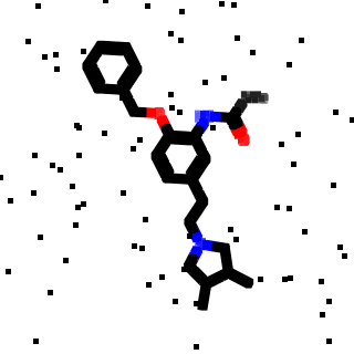 CNC(=O)Nc1cc(CCN2CC(C)C(C)C2)ccc1OCc1ccccc1